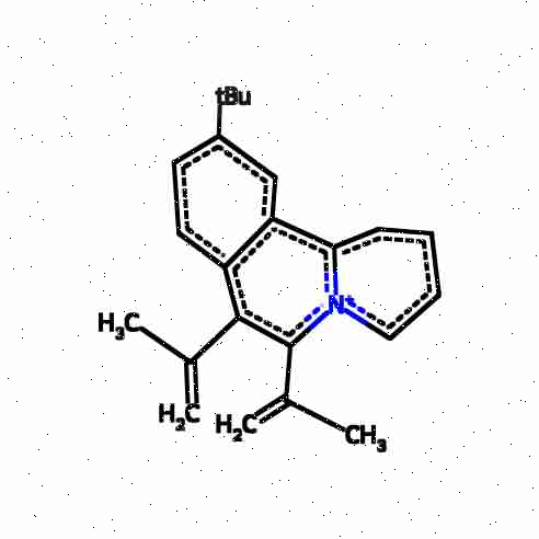 C=C(C)c1c(C(=C)C)[n+]2ccccc2c2cc(C(C)(C)C)ccc12